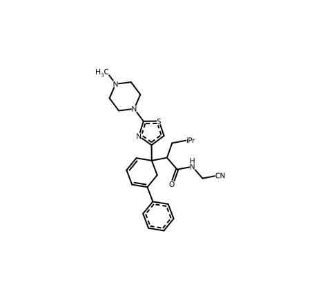 CC(C)CC(C(=O)NCC#N)C1(c2csc(N3CCN(C)CC3)n2)C=CC=C(c2ccccc2)C1